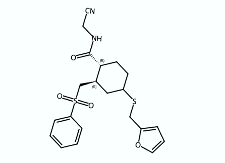 N#CCNC(=O)[C@@H]1CCC(SCc2ccco2)C[C@H]1CS(=O)(=O)c1ccccc1